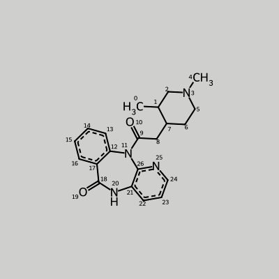 CC1CN(C)CCC1CC(=O)N1c2ccccc2C(=O)Nc2cccnc21